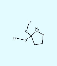 CCOC1(OCC)CCC[SiH2]1